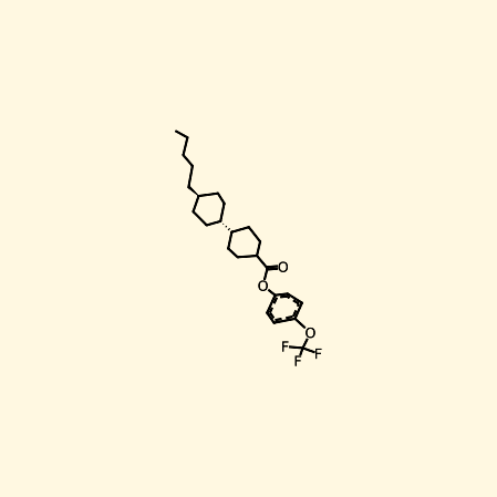 CCCCC[C@H]1CC[C@H](C2CCC(C(=O)Oc3ccc(OC(F)(F)F)cc3)CC2)CC1